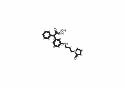 O=C(NO)C(c1ccccc1)c1cccc(NCCCN2CCCC2=O)c1